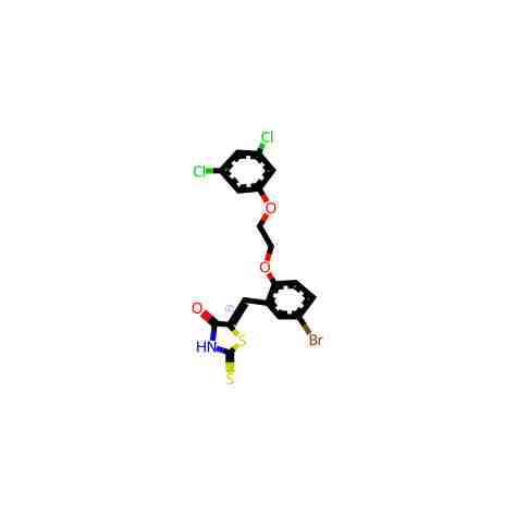 O=C1NC(=S)S/C1=C\c1cc(Br)ccc1OCCOc1cc(Cl)cc(Cl)c1